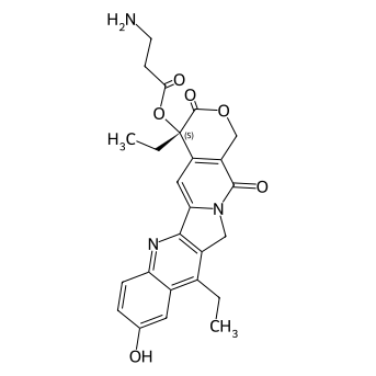 CCc1c2c(nc3ccc(O)cc13)-c1cc3c(c(=O)n1C2)COC(=O)[C@@]3(CC)OC(=O)CCN